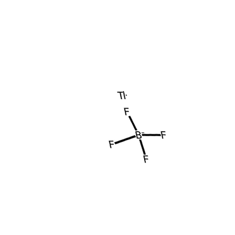 F[B-](F)(F)F.[Tl]